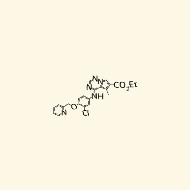 CCOC(=O)c1cn2ncnc(Nc3ccc(OCc4ccccn4)c(Cl)c3)c2c1C